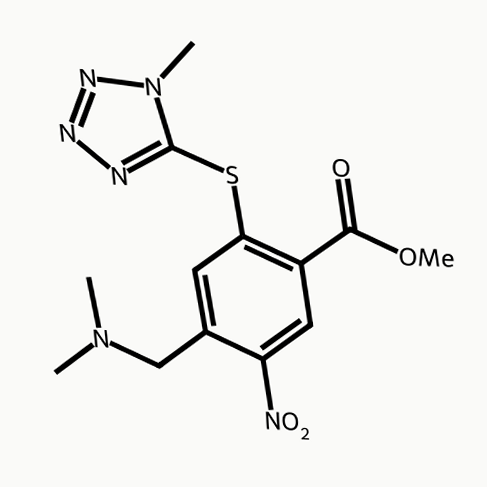 COC(=O)c1cc([N+](=O)[O-])c(CN(C)C)cc1Sc1nnnn1C